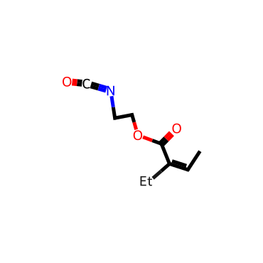 CC=C(CC)C(=O)OCCN=C=O